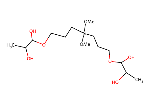 CO[Si](CCCOC(O)C(C)O)(CCCOC(O)C(C)O)OC